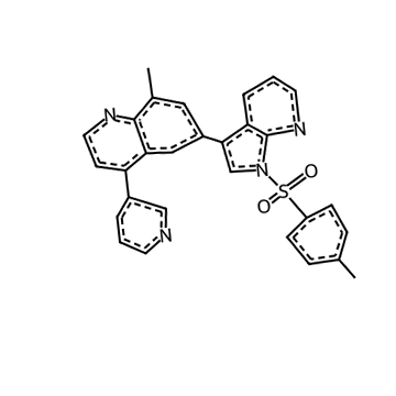 Cc1ccc(S(=O)(=O)n2cc(-c3cc(C)c4nccc(-c5cccnc5)c4c3)c3cccnc32)cc1